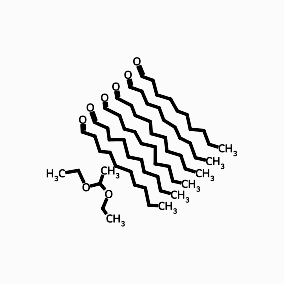 CCCCCCCCCC=O.CCCCCCCCCC=O.CCCCCCCCCC=O.CCCCCCCCCC=O.CCCCCCCCCC=O.CCCCCCCCCC=O.CCOC(C)OCC